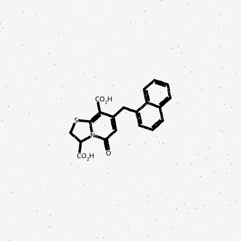 O=C(O)c1c(Cc2cccc3ccccc23)cc(=O)n2c1SCC2C(=O)O